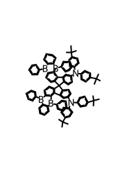 CC(C)(C)c1ccc(N(c2ccc(C(C)(C)C)cc2)c2ccc3c(c2)-c2c(ccc4c2B(c2ccccc2)c2ccccc2B4c2ccccc2)C32c3ccc(N(c4ccc(C(C)(C)C)cc4)c4ccc(C(C)(C)C)cc4)cc3-c3c2ccc2c3B(c3ccccc3)c3ccccc3B2c2ccccc2)cc1